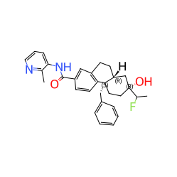 Cc1ncccc1NC(=O)c1ccc2c(c1)CC[C@@H]1C[C@@](O)(C(C)F)CC[C@@]21Cc1ccccc1